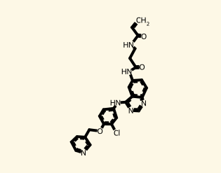 C=CC(=O)NCCC(=O)Nc1ccc2ncnc(Nc3ccc(OCc4cccnc4)c(Cl)c3)c2c1